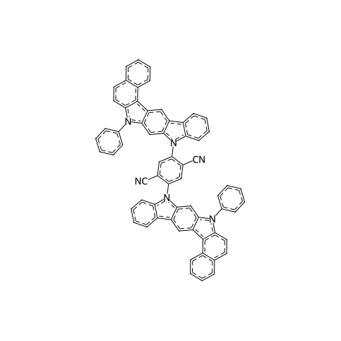 N#Cc1cc(-n2c3ccccc3c3cc4c5c6ccccc6ccc5n(-c5ccccc5)c4cc32)c(C#N)cc1-n1c2ccccc2c2cc3c4c5ccccc5ccc4n(-c4ccccc4)c3cc21